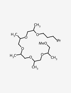 COCC(C)OCC(C)OCC(C)OCC(C)OCC(C)OCCCC(C)C